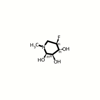 CN1C[C@@H](F)[C@H](O)[C@@H](O)[C@H]1O